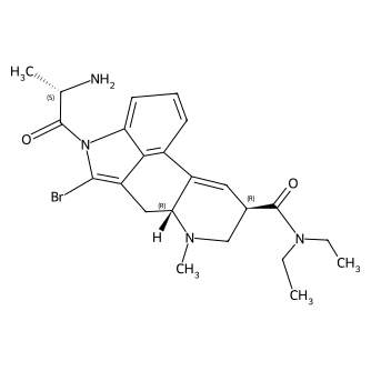 CCN(CC)C(=O)[C@@H]1C=C2c3cccc4c3c(c(Br)n4C(=O)[C@H](C)N)C[C@H]2N(C)C1